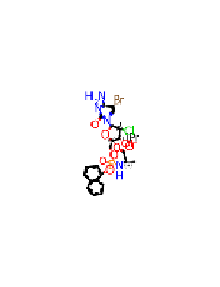 CC(C)OC(=O)[C@@H](C)NP(=O)(OC[C@H]1OC(n2cc(Br)c(N)nc2=O)[C@](C)(Cl)[C@@H]1O)Oc1cccc2ccccc12